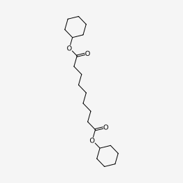 O=C(CCCCCCCC(=O)OC1CCCCC1)OC1CCCCC1